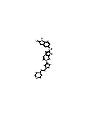 O=C1Cc2cc(Nc3nc4n(n3)C=CN(c3cnn(CCN5CCOCC5)c3)C4)ccc2N1